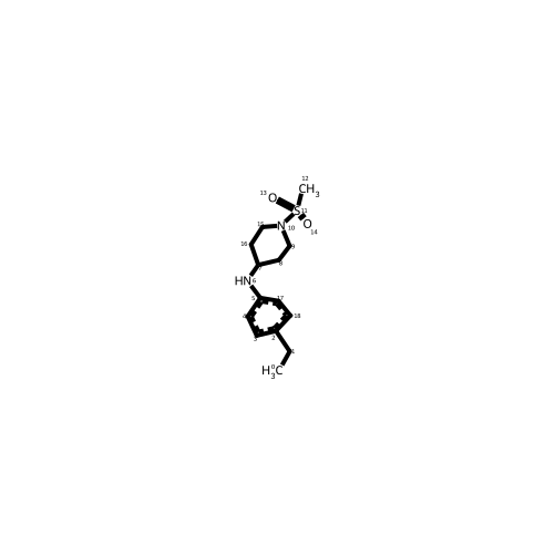 CCc1ccc(NC2CCN(S(C)(=O)=O)CC2)cc1